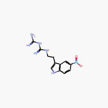 N=C(N)NC(=N)NCCc1c[nH]c2ccc([N+](=O)[O-])cc12